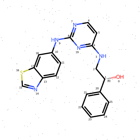 O[C@@H](CNc1ccnc(Nc2ccc3ncsc3c2)n1)c1ccccc1